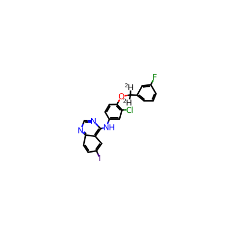 [2H]C([2H])(Oc1ccc(Nc2ncnc3ccc(I)cc23)cc1Cl)c1cccc(F)c1